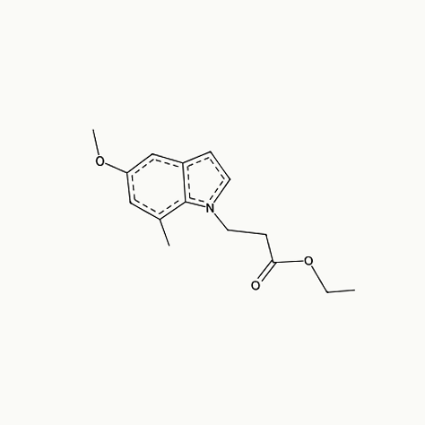 CCOC(=O)CCn1ccc2cc(OC)cc(C)c21